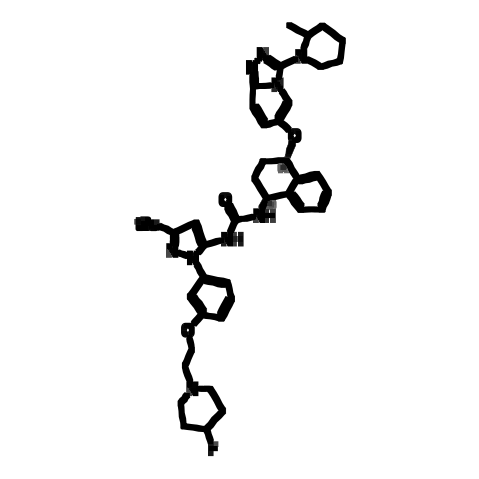 CC1CCCCN1c1nnc2ccc(O[C@@H]3CC[C@H](NC(=O)Nc4cc(C(C)(C)C)nn4-c4cccc(OCCN5CCC(F)CC5)c4)c4ccccc43)cn12